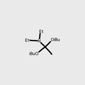 CCN(CC)C(C)(OCC(C)C)OCC(C)C